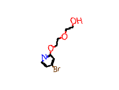 OCCOCCOc1cc(Br)ccn1